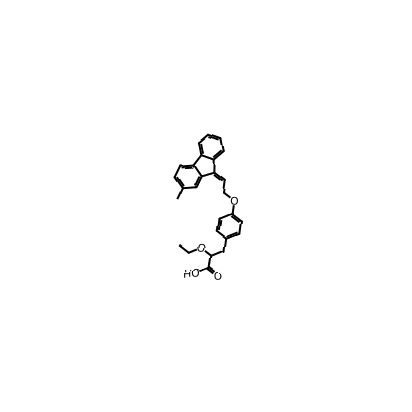 CCOC(Cc1ccc(OCC=C2c3ccccc3-c3ccc(C)cc32)cc1)C(=O)O